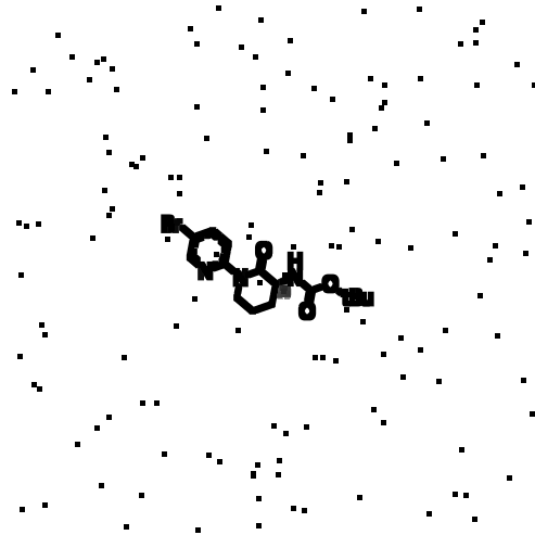 CC(C)(C)OC(=O)N[C@H]1CCCN(c2ccc(Br)cn2)C1=O